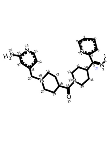 CC(C)O/N=C(\c1ccccn1)C1CCN(C(=O)C2CCN(Cc3ccnc(N)c3)CC2)CC1